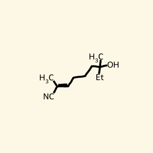 CCC(C)(O)CCC/C=C(\C)C#N